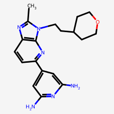 Cc1nc2ccc(-c3cc(N)nc(N)c3)nc2n1CCC1CCOCC1